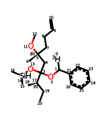 [3H]C(OC(C[C@@](C)(CCC=C)OC)(O[SiH](C)C)[C@H](C)CC)c1ccccc1